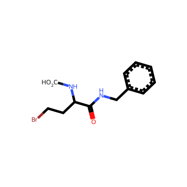 O=C(O)NC(CCBr)C(=O)NCc1ccccc1